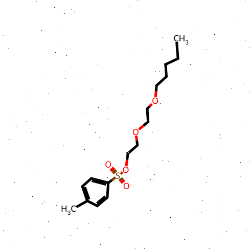 CCCCCOCCOCCOS(=O)(=O)c1ccc(C)cc1